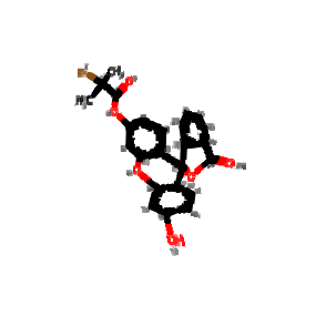 CC(C)(Br)C(=O)Oc1ccc2c(c1)Oc1cc(O)ccc1C21OC(=O)c2ccccc21